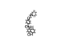 O=C(Nc1ccc(O)c2ccccc12)c1ccc(OCCN2CCCCC2)cc1